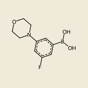 OB(O)c1cc(F)cc(N2CCOCC2)c1